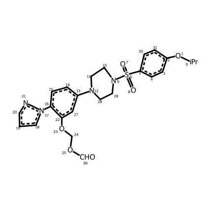 CC(C)Oc1ccc(S(=O)(=O)N2CCN(c3ccc(-n4cccn4)c(OCOC=O)c3)CC2)cc1